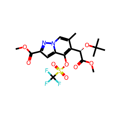 COC(=O)c1cc2c(OS(=O)(=O)C(F)(F)F)c([C@H](OC(C)(C)C)C(=O)OC)c(C)cn2n1